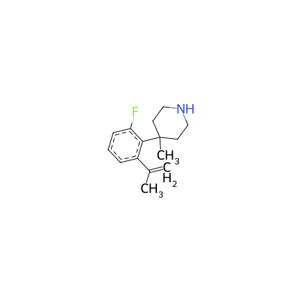 C=C(C)c1cccc(F)c1C1(C)CCNCC1